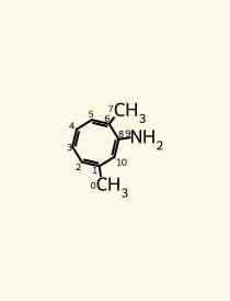 CC1=C/C=C\C=C(C)/C(N)=C\1